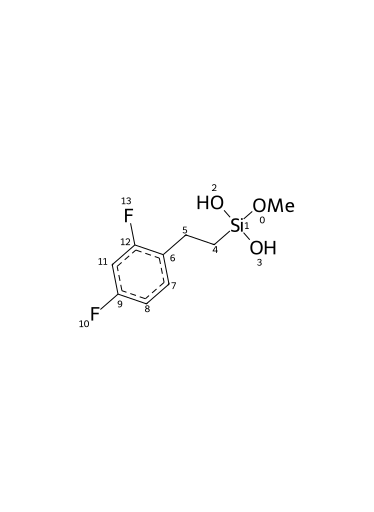 CO[Si](O)(O)CCc1ccc(F)cc1F